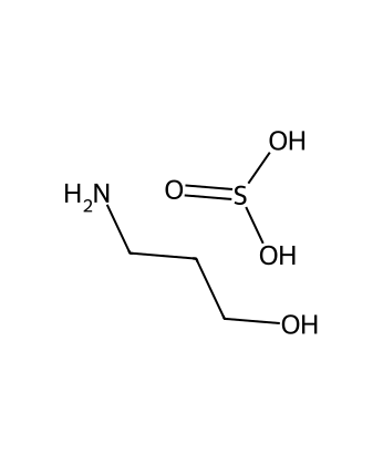 NCCCO.O=S(O)O